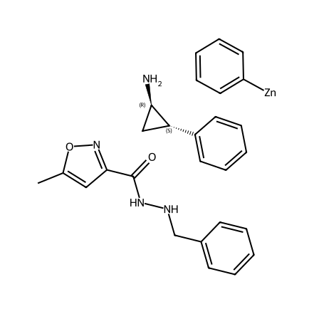 Cc1cc(C(=O)NNCc2ccccc2)no1.N[C@@H]1C[C@H]1c1ccccc1.[Zn][c]1ccccc1